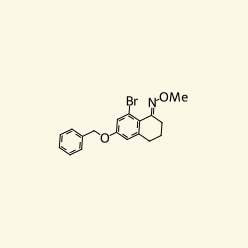 CON=C1CCCc2cc(OCc3ccccc3)cc(Br)c21